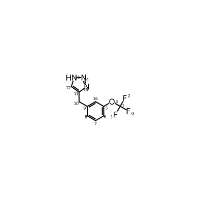 FC(F)(F)Oc1cccc(Cc2c[nH]nn2)c1